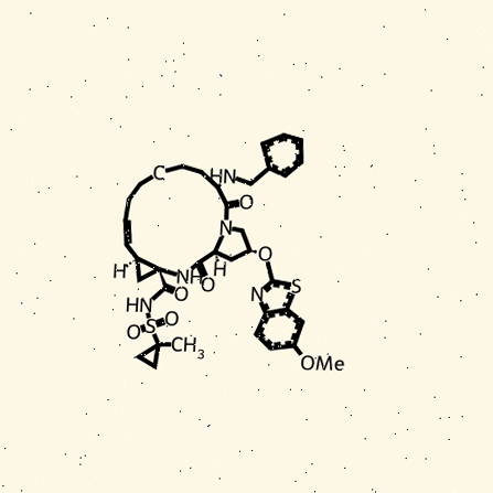 COc1ccc2nc(O[C@@H]3C[C@H]4C(=O)N[C@]5(C(=O)NS(=O)(=O)C6(C)CC6)C[C@H]5/C=C\CCCCC[C@H](NCc5ccccc5)C(=O)N4C3)sc2c1